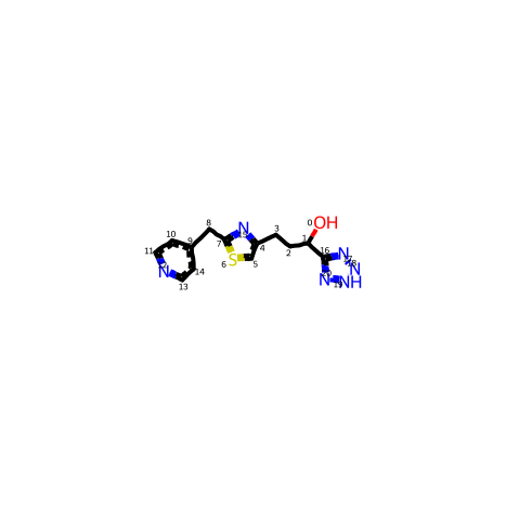 OC(CCc1csc(Cc2ccncc2)n1)c1nn[nH]n1